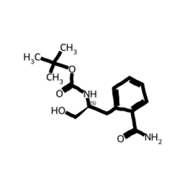 CC(C)(C)OC(=O)N[C@H](CO)Cc1ccccc1C(N)=O